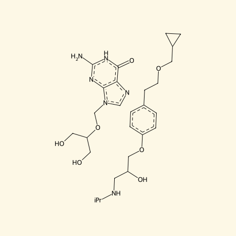 CC(C)NCC(O)COc1ccc(CCOCC2CC2)cc1.Nc1nc2c(ncn2COC(CO)CO)c(=O)[nH]1